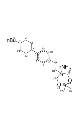 CCCCC1CCC(c2ccc(CCC3(N)COC(C)(C)OC3)cc2)CC1